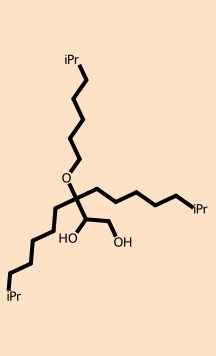 CC(C)CCCCCOC(CCCCCC(C)C)(CCCCCC(C)C)C(O)CO